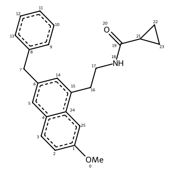 COc1ccc2cc(Cc3ccccc3)cc(CCNC(=O)C3CC3)c2c1